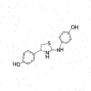 Oc1ccc(NC2NC(c3ccc(O)cc3)CS2)cc1